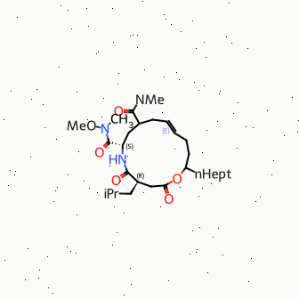 CCCCCCCC1CC/C=C/CC(C(=O)NC)C[C@@H](C(=O)N(C)OC)NC(=O)[C@H](CC(C)C)CC(=O)O1